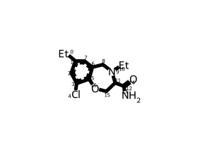 CCc1cc(Cl)c2c(c1)CN(CC)C(C(N)=O)CO2